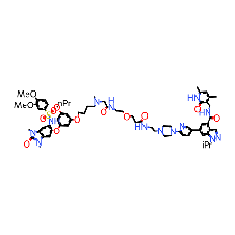 CCCOc1cc(OCCCCN(C)CC(=O)NCCOCCC(=O)NCCN2CCN(c3ccc(-c4cc(C(=O)NCc5c(C)cc(C)[nH]c5=O)c5cnn(C(C)C)c5c4)cn3)CC2)cc(Oc2cc3c(cc2NS(=O)(=O)c2ccc(OC)c(OC)c2)n(C)c(=O)n3C)c1